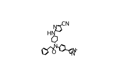 Cn1cc(-c2ccc(N(C(=O)Cc3ccccc3)[C@H]3CC[C@H](Nc4ccc(C#N)cn4)CC3)cc2)cn1